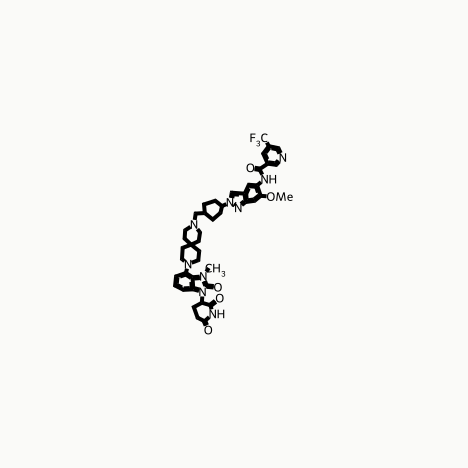 COc1cc2nn(C3CCC(CN4CCC5(CC4)CCN(c4cccc6c4n(C)c(=O)n6C4CCC(=O)NC4=O)CC5)CC3)cc2cc1NC(=O)c1cncc(C(F)(F)F)c1